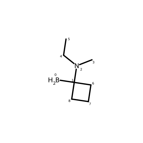 BC1(N(C)CC)CCC1